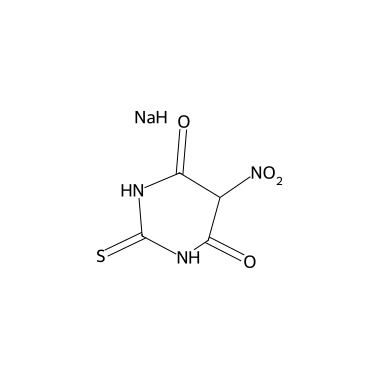 O=C1NC(=S)NC(=O)C1[N+](=O)[O-].[NaH]